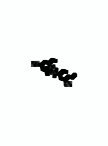 C=CC=C(C#N)CC(=CC)[Si](C)(C)O[Si](C)(C)C(=CC)CC(C#N)=CC=C